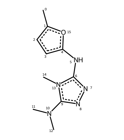 Cc1ccc(Nc2nnc(N(C)C)n2C)o1